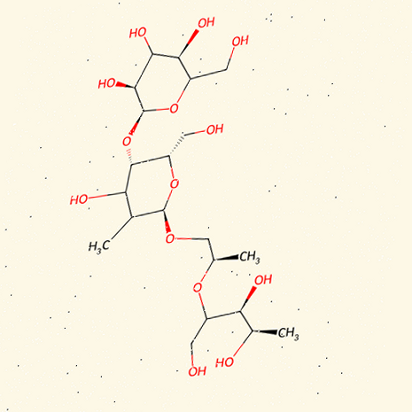 CC1C(O)[C@H](O[C@@H]2OC(CO)[C@H](O)C(O)[C@@H]2O)[C@H](CO)O[C@H]1OC[C@@H](C)OC(CO)[C@@H](O)[C@@H](C)O